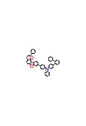 C1=C(c2ccccc2)Oc2c(ccc3oc4cc(-c5ccc(N(c6ccccc6)c6ccc(-c7ccccc7-c7ccccc7)cc6)cc5)ccc4c23)C1